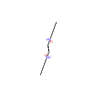 CCCCCCCCCCCCCCNC(=O)CCCC#CC#CCCCC(=O)NCCCCCCCCCCCCCC